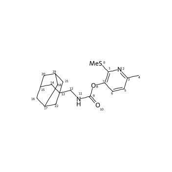 CSc1nc(C)ccc1OC(=O)NCC12CC3CC(CC(C3)C1)C2